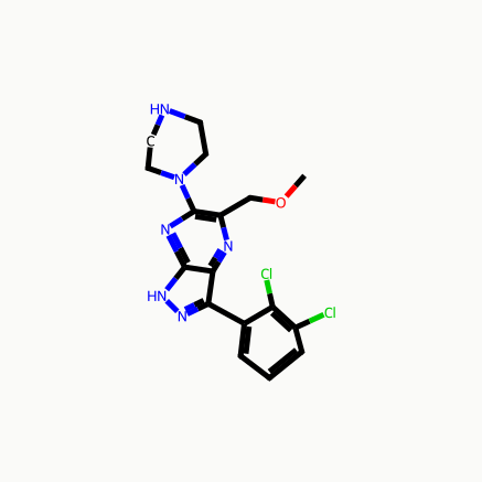 COCc1nc2c(-c3cccc(Cl)c3Cl)n[nH]c2nc1N1CCNCC1